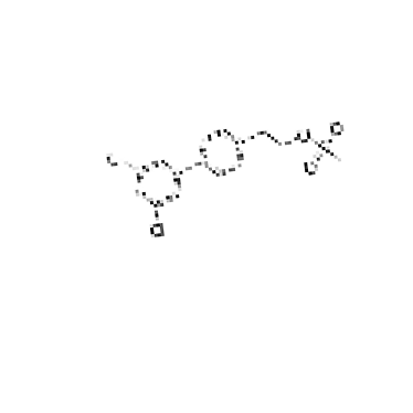 CS(=O)(=O)OCCc1ccc(-c2cc(Cl)cc(Cl)c2)cc1